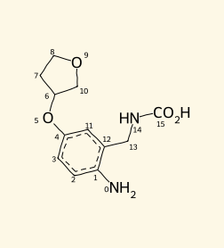 Nc1ccc(OC2CCOC2)cc1CNC(=O)O